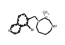 C[C@@H]1CNCCCCN1Cc1ccc2cnccc2c1Br